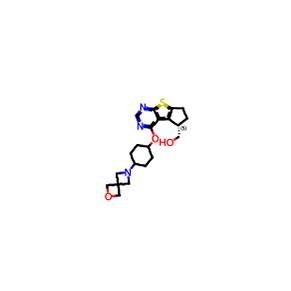 OC[C@H]1CCc2sc3ncnc(OC4CCC(N5CC6(COC6)C5)CC4)c3c21